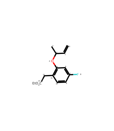 C=CC(C)Oc1cc(F)ccc1CC(=O)OCC